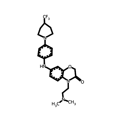 CN(C)CCN1C(=O)COc2cc(Nc3ccc(N4CCC(C(F)(F)F)CC4)cc3)ccc21